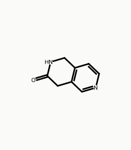 O=C1Cc2cnccc2CN1